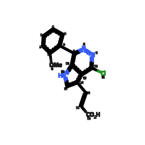 COc1ccccc1-c1nnc(Cl)c2c(/C=C/C(=O)O)c[nH]c12